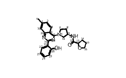 Cc1ccc2c(N3CC[C@@H](NC(=O)C4CCCO4)C3)nc(-c3ccccc3O)nc2c1